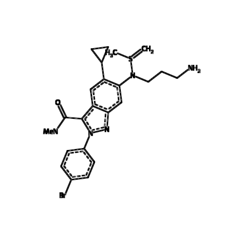 C=S(C)N(CCCN)c1cc2nn(-c3ccc(Br)cc3)c(C(=O)NC)c2cc1C1CC1